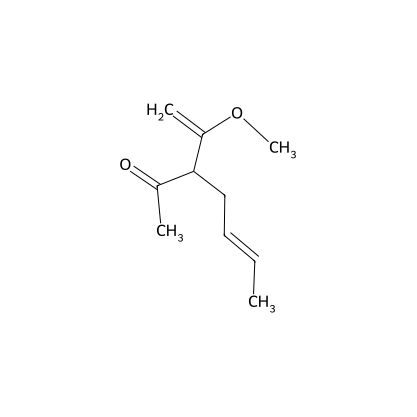 C=C(OC)C(CC=CC)C(C)=O